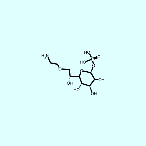 NCCOC[C@@H](O)C1O[C@@H](OP(=O)(O)O)C(O)[C@@H](O)[C@@H]1O